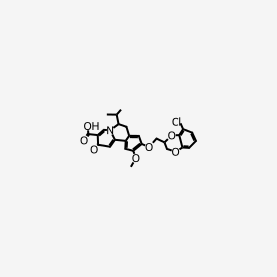 COc1cc2c(cc1OCC1COc3cccc(Cl)c3O1)CC(C(C)C)n1cc(C(=O)O)c(=O)cc1-2